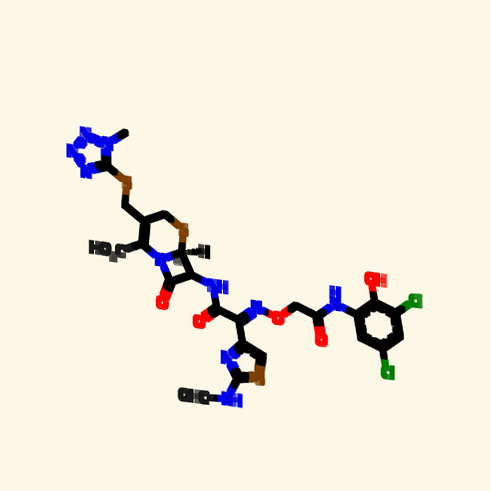 Cn1nnnc1SCC1=C(C(=O)O)N2C(=O)C(NC(=O)C(=NOCC(=O)Nc3cc(Cl)cc(Cl)c3O)c3csc(NC=O)n3)[C@@H]2SC1